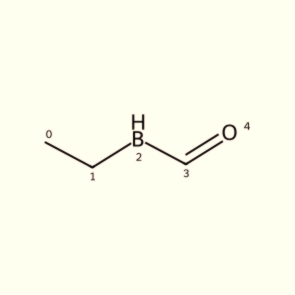 CCBC=O